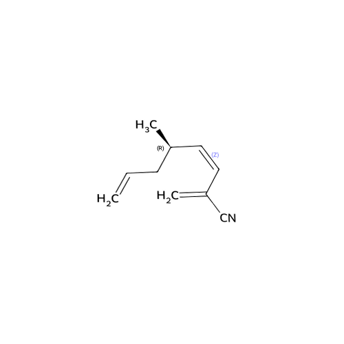 C=CC[C@@H](C)/C=C\C(=C)C#N